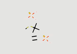 CC.CC.CSC(C)(C)C.OP(O)(O)=S.OP(O)(O)=S